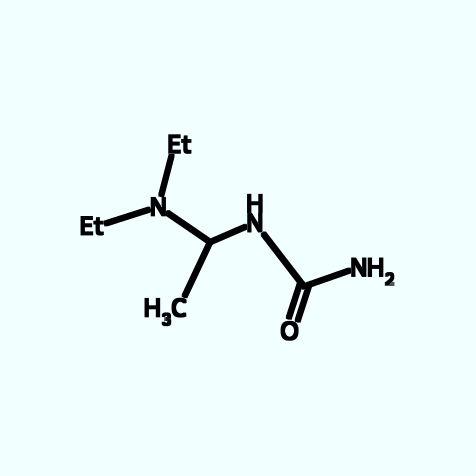 CCN(CC)C(C)NC(N)=O